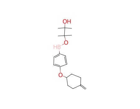 C=C1CCC(Oc2ccc(BOC(C)(C)C(C)(C)O)cc2)CC1